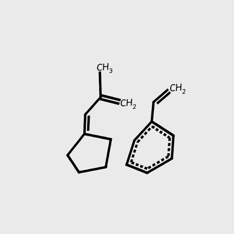 C=C(C)C=C1CCCC1.C=Cc1ccccc1